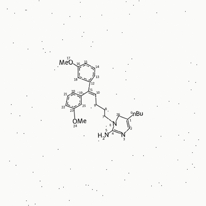 CCCCC1=CN=C(N)N(CCCC=C(c2cccc(OC)c2)c2cccc(OC)c2)C1